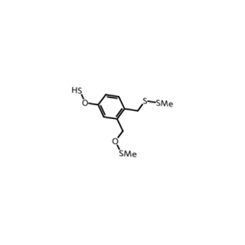 CSOCc1cc(OS)ccc1CSSC